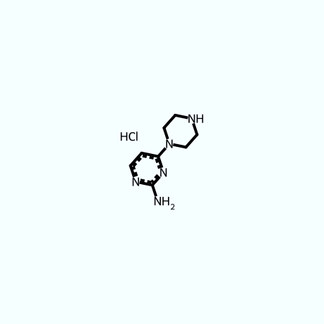 Cl.Nc1nccc(N2CCNCC2)n1